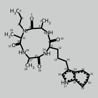 CCCN1C(=O)C(C)NC(=O)C(CCCc2c[nH]c3ccccc23)NC(=O)C(C)NC(=O)C1C